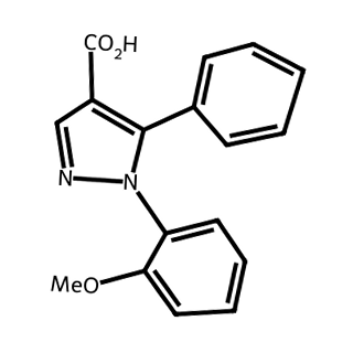 COc1ccccc1-n1ncc(C(=O)O)c1-c1ccccc1